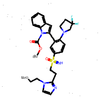 COCCn1ccnc1CCS(=N)(=O)c1ccc(N2CCC(F)(F)C2)c(-c2cc3ccccc3n2C(=O)OC(C)(C)C)c1